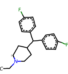 N#CCN1[C]CC(C(c2ccc(F)cc2)c2ccc(F)cc2)CC1